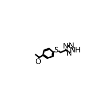 CC(=O)c1ccc(SCc2nn[nH]n2)cc1